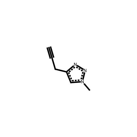 C#CCc1cn(C)nn1